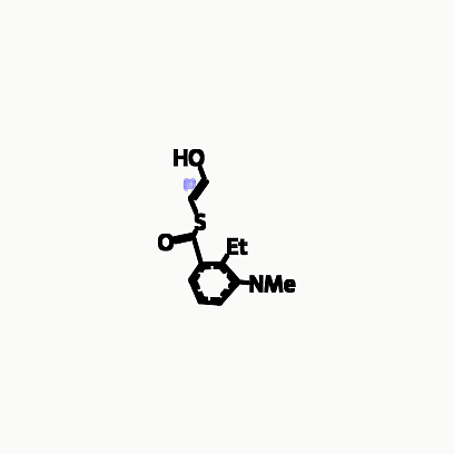 CCc1c(NC)cccc1C(=O)S/C=C/O